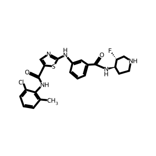 Cc1cccc(Cl)c1NC(=O)c1cnc(Nc2cccc(C(=O)N[C@@H]3CCNC[C@H]3F)c2)s1